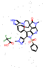 CN1C(=O)C2(CCN(c3cn[nH]c3)CC2)c2c1cnc1c2c(-c2ccccc2)c(-c2cnn(C)c2)n1S(=O)(=O)c1ccccc1.O=C(O)C(F)(F)F